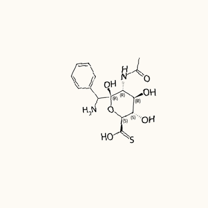 CC(=O)N[C@@H]1[C@@H](O)[C@H](O)[C@@H](C(O)=S)O[C@]1(O)C(N)c1ccccc1